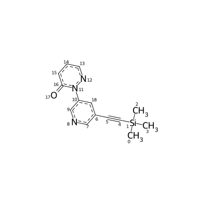 C[Si](C)(C)C#Cc1cncc(-n2ncccc2=O)c1